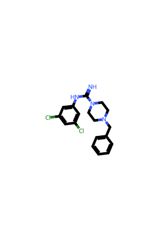 N=C(Nc1cc(Cl)cc(Cl)c1)N1CCN(Cc2ccccc2)CC1